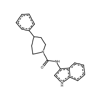 O=C(Nc1c[nH]c2ccccc12)N1CCC(c2ccccc2)CC1